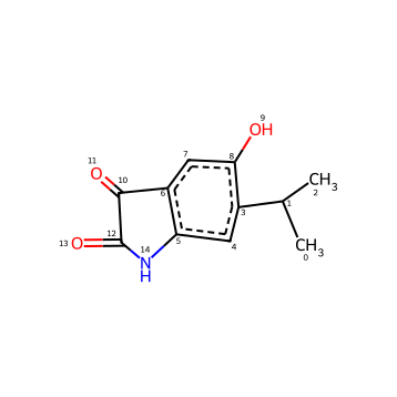 CC(C)c1cc2c(cc1O)C(=O)C(=O)N2